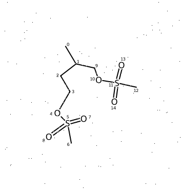 CC(CCOS(C)(=O)=O)COS(C)(=O)=O